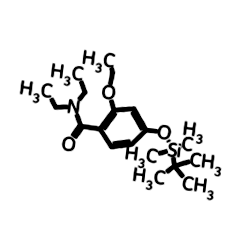 CCOc1cc(O[Si](C)(C)C(C)(C)C)ccc1C(=O)N(CC)CC